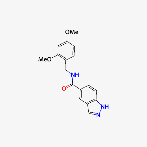 COc1ccc(CNC(=O)c2ccc3[nH]ncc3c2)c(OC)c1